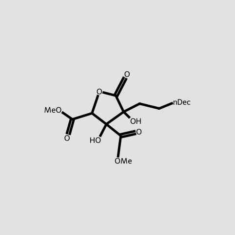 CCCCCCCCCCCCC1(O)C(=O)OC(C(=O)OC)C1(O)C(=O)OC